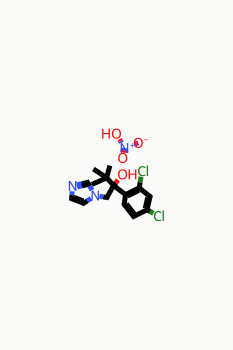 CC(C)(C)C(O)(Cn1ccnc1)c1ccc(Cl)cc1Cl.O=[N+]([O-])O